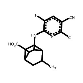 CC1CC2CCC1C(Nc1nc(Cl)c(C#N)cc1F)C2C(=O)O